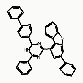 c1ccc(C2=NC(c3cc(-c4ccccc4)cc4sc5ccccc5c34)=NC(c3ccc(-c4ccccc4)cc3)N2)cc1